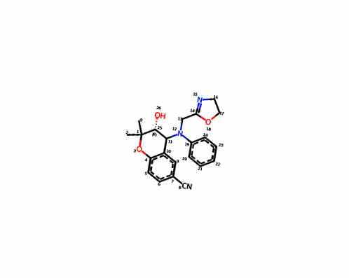 CC1(C)Oc2ccc(C#N)cc2C(N(CC2=NCCO2)c2ccccc2)[C@H]1O